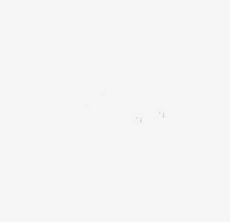 CCCOC(=O)CCCN1CC[N]CC1